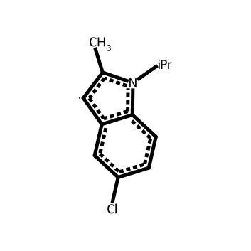 Cc1[c]c2cc(Cl)ccc2n1C(C)C